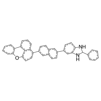 c1ccc(C2Nc3ccc(-c4ccc5cc(-c6ccc7c8c(cccc68)-c6ccccc6O7)ccc5c4)cc3N2)cc1